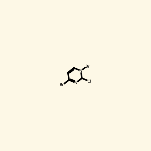 ClC1N=C(Br)C=CN1Br